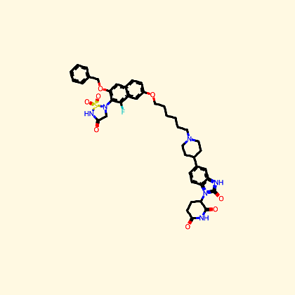 O=C1CCC(n2c(=O)[nH]c3cc(C4CCN(CCCCCCOc5ccc6cc(OCc7ccccc7)c(N7CC(=O)NS7(=O)=O)c(F)c6c5)CC4)ccc32)C(=O)N1